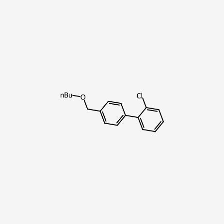 CCCCOCc1ccc(-c2ccccc2Cl)cc1